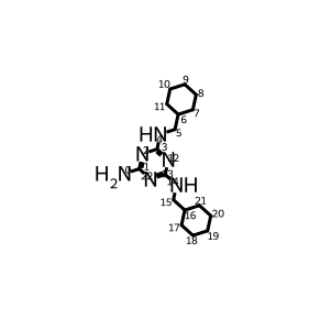 Nc1nc(NCC2CCCCC2)nc(NCC2CCCCC2)n1